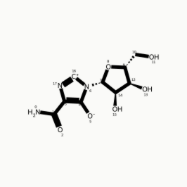 NC(=O)C1=C([O-])N([C@@H]2O[C@H](CO)[C@@H](O)[C@H]2O)[C+]=N1